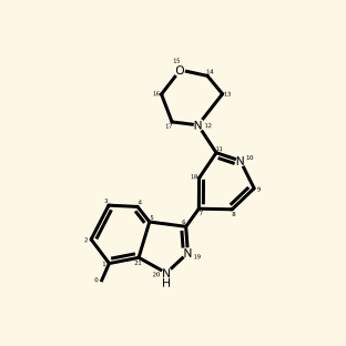 Cc1cccc2c(-c3ccnc(N4CCOCC4)c3)n[nH]c12